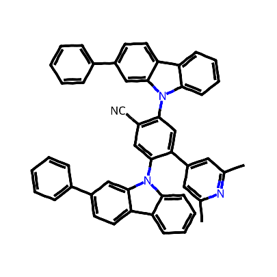 Cc1cc(-c2cc(-n3c4ccccc4c4ccc(-c5ccccc5)cc43)c(C#N)cc2-n2c3ccccc3c3ccc(-c4ccccc4)cc32)cc(C)n1